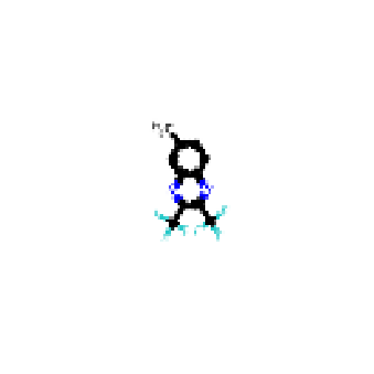 Cc1ccc2nc(C(F)(F)F)c(C(F)(F)F)nc2c1